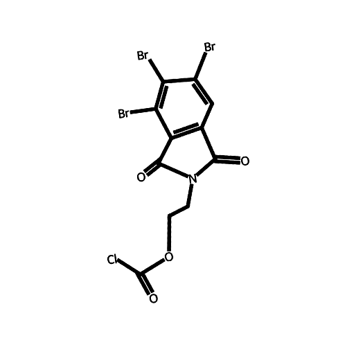 O=C(Cl)OCCN1C(=O)c2cc(Br)c(Br)c(Br)c2C1=O